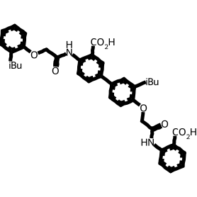 CCC(C)c1ccccc1OCC(=O)Nc1ccc(-c2ccc(OCC(=O)Nc3ccccc3C(=O)O)c(C(C)CC)c2)cc1C(=O)O